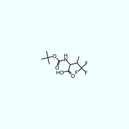 CC(C(NC(=O)OC(C)(C)C)C(=O)O)C(F)(F)F